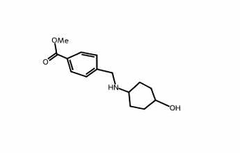 COC(=O)c1ccc(CNC2CCC(O)CC2)cc1